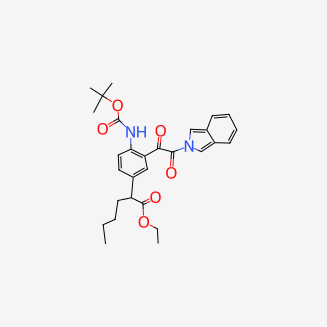 CCCCC(C(=O)OCC)c1ccc(NC(=O)OC(C)(C)C)c(C(=O)C(=O)n2cc3ccccc3c2)c1